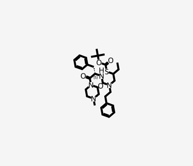 CCC(CN(CCc1ccccc1)C(=O)N[C@@H](Cc1ccccc1)C(=O)N1CCN(C)CC1)SC(=O)OC(C)(C)C